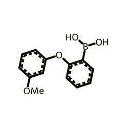 COc1cccc(Oc2ccccc2B(O)O)c1